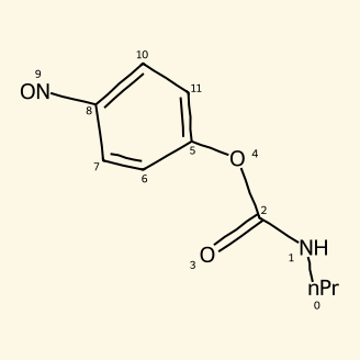 CCCNC(=O)Oc1ccc(N=O)cc1